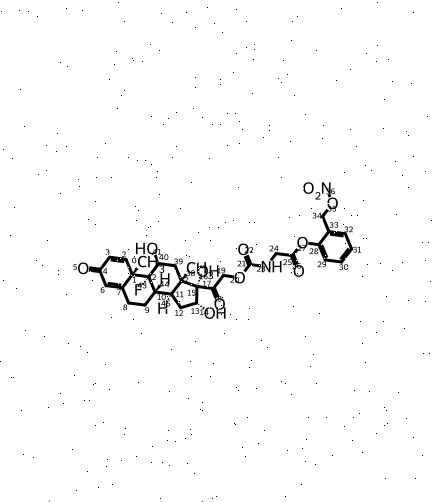 C[C@]12C=CC(=O)C=C1CC[C@H]1[C@@H]3C[C@@H](O)[C@](O)(C(=O)COC(=O)NCC(=O)Oc4ccccc4CO[N+](=O)[O-])[C@@]3(C)C[C@H](O)[C@@]12F